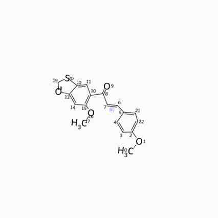 COc1ccc(/C=C/C(=O)c2cc3c(cc2OC)OCS3)cc1